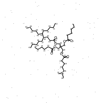 CCCCCC(=O)OCC(COC(=O)CCCCC)(COC(=O)CCCCN(C)C)COC(=O)CCC(CCCCC)C(CCCCC)CCCCC